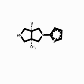 C[C@]12CNC[C@H]1CN(c1cccs1)C2